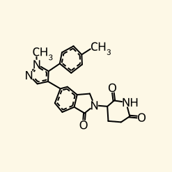 Cc1ccc(-c2c(-c3ccc4c(c3)CN(C3CCC(=O)NC3=O)C4=O)cnn2C)cc1